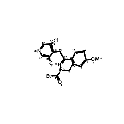 CCC(=O)N1Cc2cc(OC)ccc2C(Cc2c(Cl)cncc2Cl)=N1